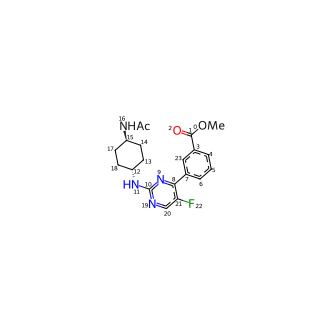 COC(=O)c1cccc(-c2nc(N[C@H]3CC[C@H](NC(C)=O)CC3)ncc2F)c1